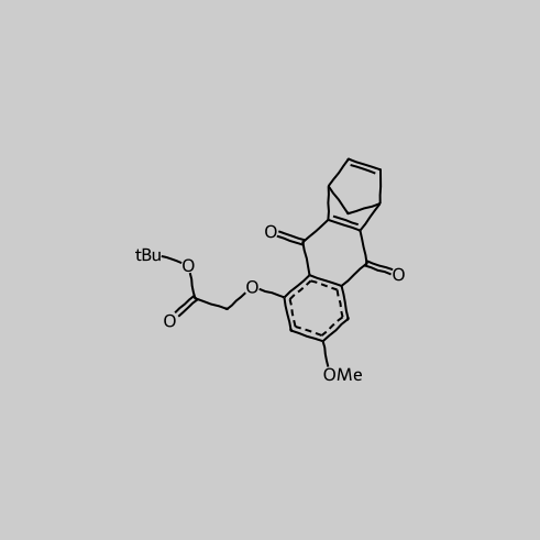 COc1cc(OCC(=O)OC(C)(C)C)c2c(c1)C(=O)C1=C(C2=O)C2C=CC1C2